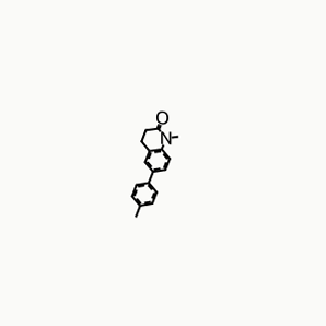 Cc1ccc(-c2ccc3c(c2)CCC(=O)N3C)cc1